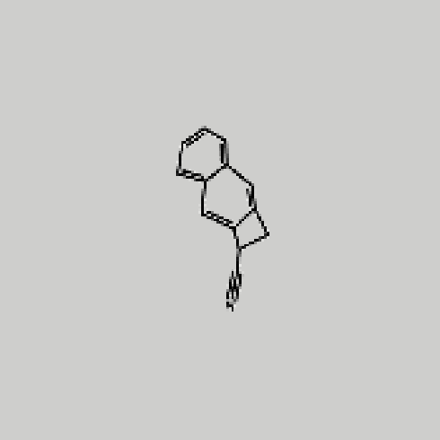 N#CC1Cc2cc3ccccc3cc21